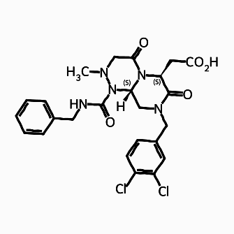 CN1CC(=O)N2[C@@H](CC(=O)O)C(=O)N(Cc3ccc(Cl)c(Cl)c3)C[C@@H]2N1C(=O)NCc1ccccc1